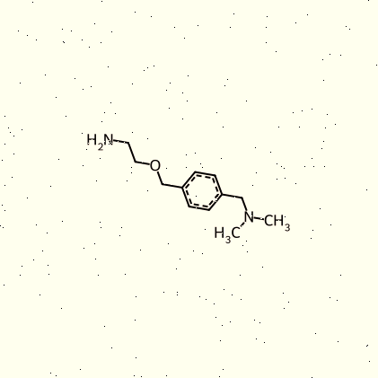 CN(C)Cc1ccc(COCCN)cc1